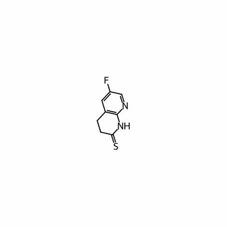 Fc1cnc2c(c1)CCC(=S)N2